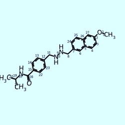 COc1ccc2cc(CNNCc3ccc(C(=O)NC(C)C)cc3)ccc2c1